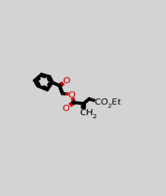 C=C(CC(=O)OCC)C(=O)OCC(=O)c1ccccc1